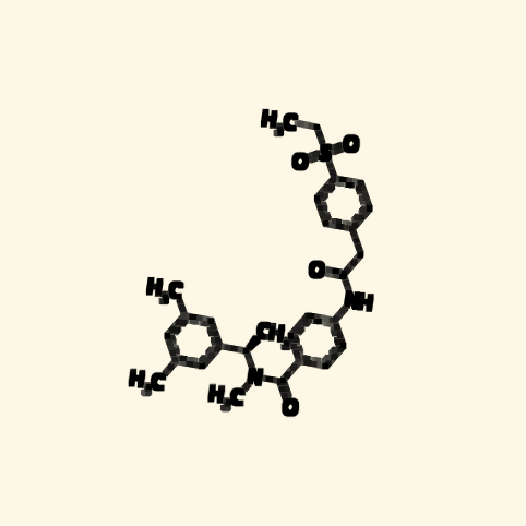 CCS(=O)(=O)c1ccc(CC(=O)Nc2ccc(C(=O)N(C)[C@H](C)c3cc(C)cc(C)c3)cc2)cc1